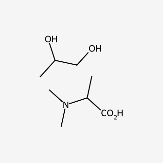 CC(C(=O)O)N(C)C.CC(O)CO